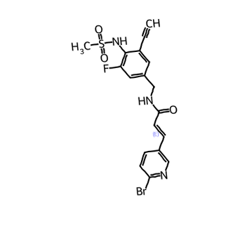 C#Cc1cc(CNC(=O)/C=C/c2ccc(Br)nc2)cc(F)c1NS(C)(=O)=O